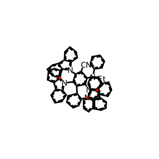 CCN(c1ccccc1)c1c(C#N)c(-n2c3ccccc3c3ccccc32)c(-n2c3ccccc3c3ccccc32)c(-c2ccccc2-n2c3ccccc3c3ccccc32)c1-n1c2ccccc2c2ccccc21